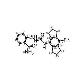 NC(=O)c1ccccc1SNC(=O)Nc1c2c(c(F)c3c1CCC3)CCC2